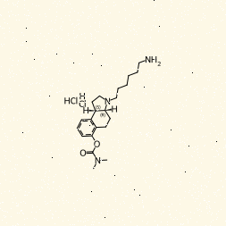 CN(C)C(=O)Oc1cccc2c1CC[C@@H]1[C@H]2CCN1CCCCCCN.Cl.Cl